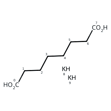 O=C(O)CCCCCCC(=O)O.[KH].[KH]